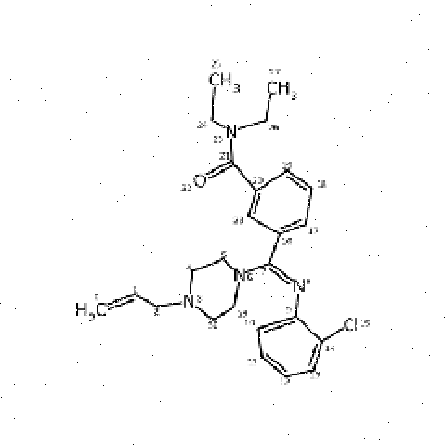 C=CCN1CCN(/C(=N\c2ccccc2Cl)c2cccc(C(=O)N(CC)CC)c2)CC1